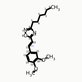 CCCCCCc1noc(/C=C/c2ccc(OC)c(OC)c2)n1